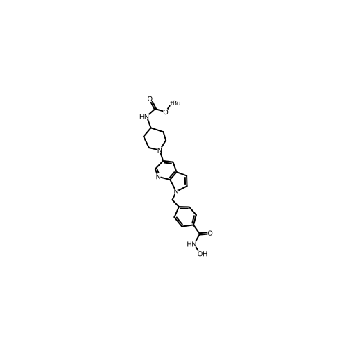 CC(C)(C)OC(=O)NC1CCN(c2cnc3c(ccn3Cc3ccc(C(=O)NO)cc3)c2)CC1